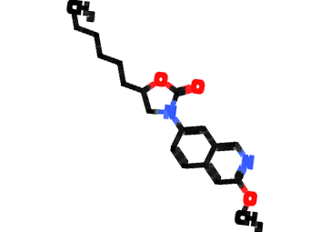 CCCCCCC1CN(c2ccc3cc(OC)ncc3c2)C(=O)O1